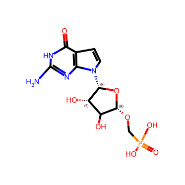 Nc1nc2c(ccn2[C@@H]2O[C@H](OCP(=O)(O)O)C(O)[C@@H]2O)c(=O)[nH]1